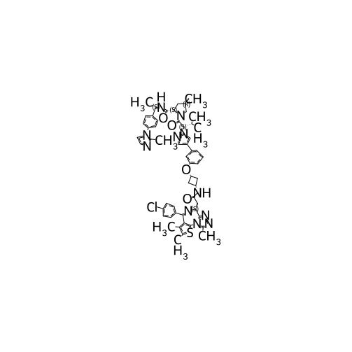 Cc1sc2c(c1C)C(c1ccc(Cl)cc1)=N[C@@H](CC(=O)N[C@H]1C[C@@H](Oc3cccc(-c4cnn([C@H](C(=O)N5C[C@H](C)C[C@H]5C(=O)N[C@@H](C)c5ccc(-n6ccnc6C)cc5)C(C)C)c4)c3)C1)c1nnc(C)n1-2